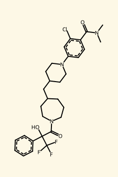 CN(C)C(=O)c1ccc(N2CCC(CC3CCCN(C(=O)C(O)(c4ccccc4)C(F)(F)F)CC3)CC2)cc1Cl